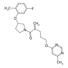 C=C(CCCOc1cc(C)ncn1)C(=O)N1CCC(Oc2cc(F)ccc2C)C1